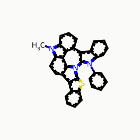 Cn1c2cccc3c2c2c1ccc1c4c5ccccc5sc4n(c12)c1c3c2ccccc2n1-c1ccccc1